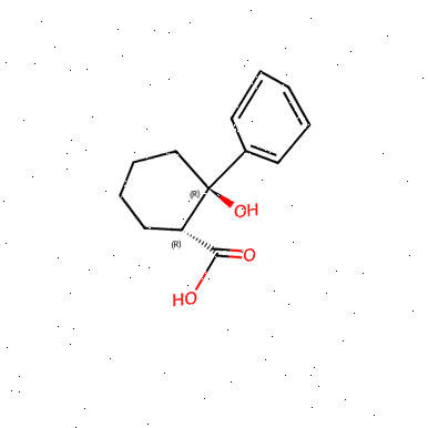 O=C(O)[C@@H]1CCCC[C@]1(O)c1ccccc1